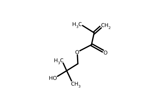 C=C(C)C(=O)OCC(C)(C)O